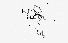 CCCCCC1C(=O)C2(C)CCC1C2(C)C